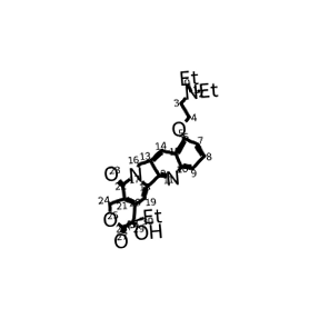 CCN(CC)CCOc1cccc2nc3c(cc12)Cn1c-3cc2c(c1=O)COC(=O)[C@]2(O)CC